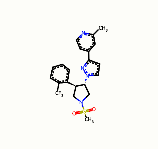 Cc1cc(-c2ccn([C@@H]3CN(S(C)(=O)=O)C[C@H]3c3ccccc3C(F)(F)F)n2)ccn1